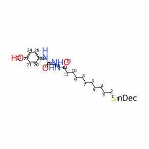 CCCCCCCCCCSCCCCCCCCCCC(=O)NNC(=O)Nc1ccc(O)cc1